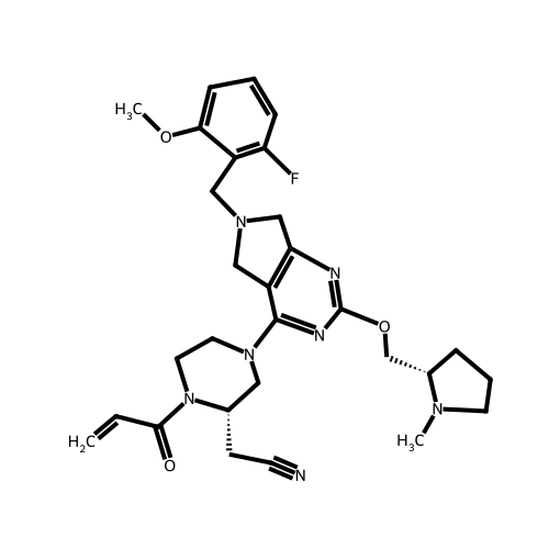 C=CC(=O)N1CCN(c2nc(OC[C@@H]3CCCN3C)nc3c2CN(Cc2c(F)cccc2OC)C3)C[C@@H]1CC#N